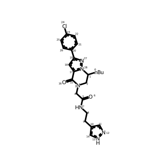 CCCCC1CN(CC(=O)NCCc2cn[nH]c2)C(=O)c2cc(-c3ccc(Cl)cc3)nn21